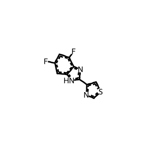 Fc1cc(F)c2nc(-c3cscn3)[nH]c2c1